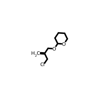 C=C(CCl)COC1CCCCO1